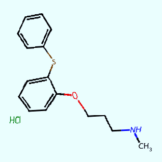 CNCCCOc1ccccc1Sc1ccccc1.Cl